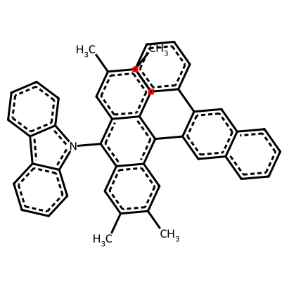 Cc1cc2c(-c3cc4ccccc4cc3-c3ccccc3)c3cc(C)c(C)cc3c(-n3c4ccccc4c4ccccc43)c2cc1C